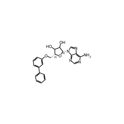 Nc1ncnc2c1ncn2[C@@H]1O[C@H](COc2cccc(-c3ccccc3)c2)C(O)C1O